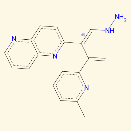 C=C(/C(=C\NN)c1ccc2ncccc2n1)c1cccc(C)n1